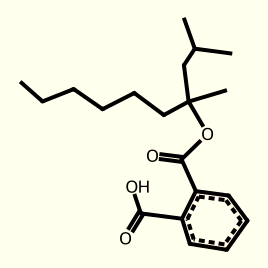 CCCCCCC(C)(CC(C)C)OC(=O)c1ccccc1C(=O)O